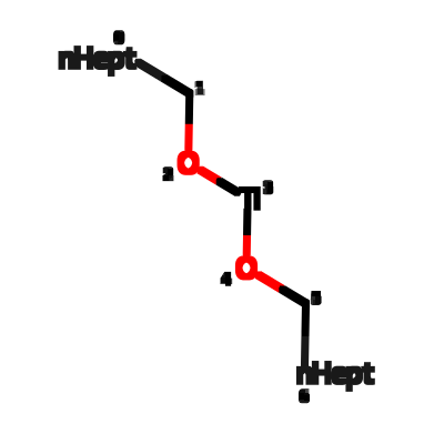 CCCCCCCC[O][Ti][O]CCCCCCCC